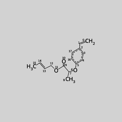 C=Cc1ccc(OC(C)C(=O)OCC=CC)cc1